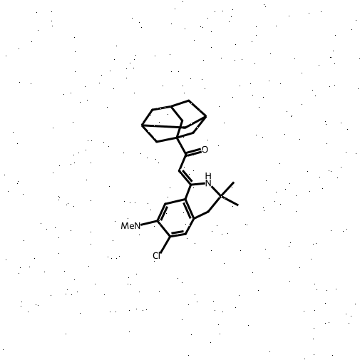 CNc1cc2c(cc1Cl)CC(C)(C)NC2=CC(=O)C12CC3CC(CC(C3)C1)C2